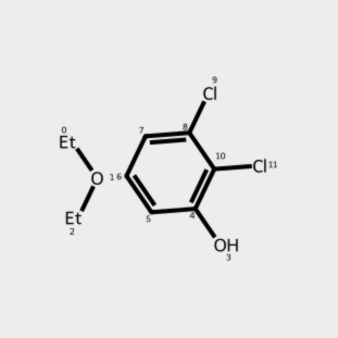 CCOCC.Oc1cccc(Cl)c1Cl